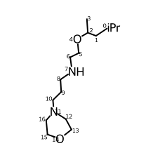 CC(C)CC(C)OCCNCCCN1CCOCC1